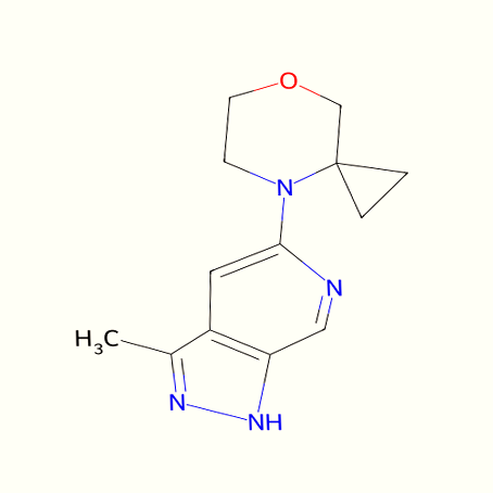 Cc1n[nH]c2cnc(N3CCOCC34CC4)cc12